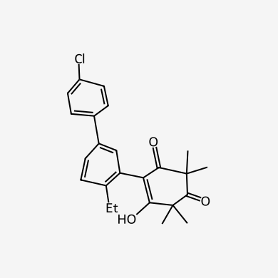 CCc1ccc(-c2ccc(Cl)cc2)cc1C1=C(O)C(C)(C)C(=O)C(C)(C)C1=O